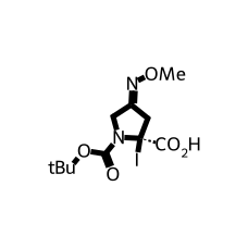 CON=C1CN(C(=O)OC(C)(C)C)[C@@](I)(C(=O)O)C1